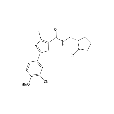 CCN1CCC[C@H]1CNC(=O)c1sc(-c2ccc(OCC(C)C)c(C#N)c2)nc1C